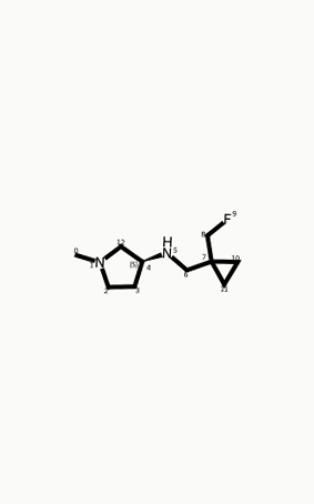 CN1CC[C@H](NCC2(CF)CC2)C1